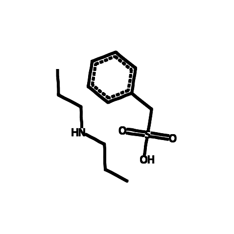 CCCNCCC.O=S(=O)(O)Cc1ccccc1